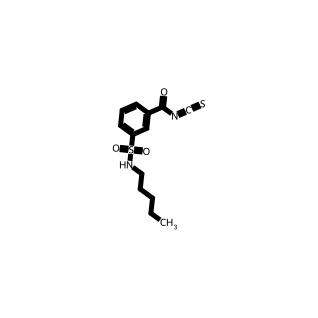 CCCCCNS(=O)(=O)c1cccc(C(=O)N=C=S)c1